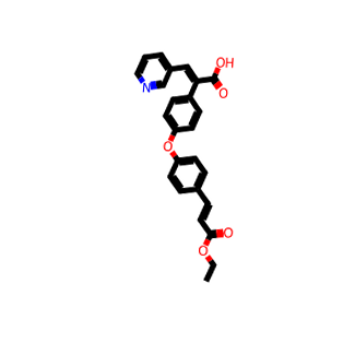 CCOC(=O)/C=C/c1ccc(Oc2ccc(/C(=C\c3cccnc3)C(=O)O)cc2)cc1